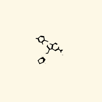 O=C(NO)c1cc2c(CN[C@@H]3C[C@@H]4CC[C@@H]3C4)cn(Cc3ccc(F)cc3F)c2cn1